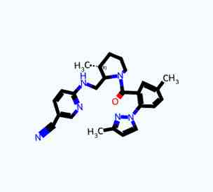 Cc1ccc(-n2ccc(C)n2)c(C(=O)N2CCC[C@@H](C)C2CNc2ccc(C#N)cn2)c1